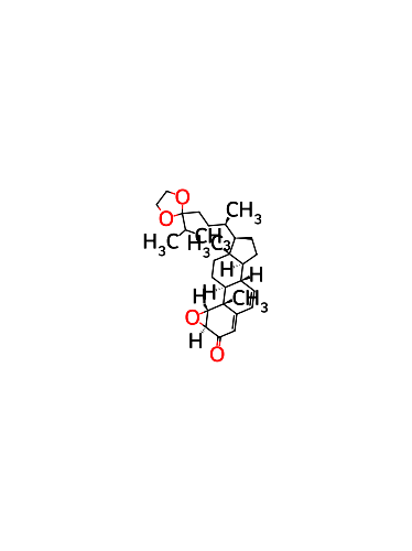 CC(C)C1(CC[C@@H](C)[C@H]2CC[C@H]3[C@@H]4C=CC5=CC(=O)[C@H]6O[C@@H]6[C@]5(C)[C@H]4CC[C@]23C)OCCO1